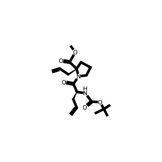 C=CC[C@H](NC(=O)OC(C)(C)C)C(=O)N1CCC[C@@]1(CC=C)C(=O)OC